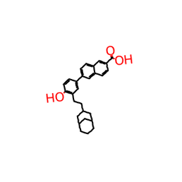 O=C(O)c1ccc2cc(-c3ccc(O)c(CCC4CC5CCCC(C5)C4)c3)ccc2c1